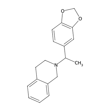 CC(c1ccc2c(c1)OCO2)N1CCc2ccccc2C1